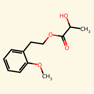 COc1ccccc1CCOC(=O)C(C)O